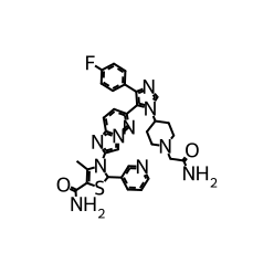 CC1=C(C(N)=O)SC(c2cccnc2)N1c1cn2nc(-c3c(-c4ccc(F)cc4)ncn3C3CCN(CC(N)=O)CC3)ccc2n1